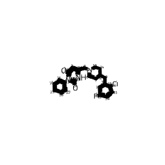 O=c1cc(CN2CCC(Cc3cc(F)ccc3Cl)CC2)[nH]c(=O)n1-c1ccccc1